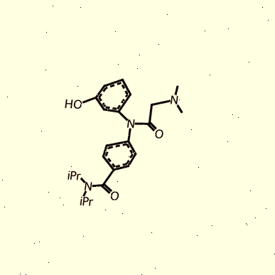 CC(C)N(C(=O)c1ccc(N(C(=O)CN(C)C)c2cccc(O)c2)cc1)C(C)C